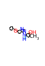 Cc1cc(F)c(Nc2ncnc3cc(OCc4ccccc4)ccc23)cc1O